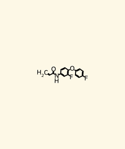 C=CC(=O)Nc1ccc(Oc2ccc(F)cc2)c(F)c1